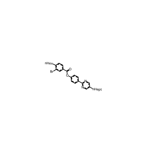 CCCCCCCc1cnc(-c2ccc(OC(=O)c3ccc(CCCCCC)c(Br)c3)cc2)nc1